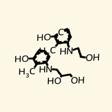 Cc1c(O)cccc1NCC(O)CO.Cc1c(O)cccc1NCCO